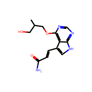 CC(CO)COc1ncnc2[nH]cc(C=CC(N)=O)c12